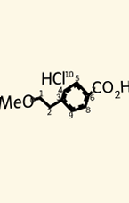 COCCc1ccc(C(=O)O)cc1.Cl